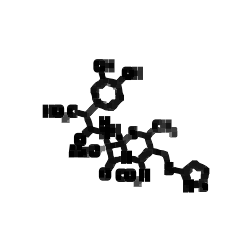 CO[C@@]1(NC(=O)C(C(=O)O)c2ccc(O)c(O)c2)C(=O)N2C(C(=O)O)=C(CSc3ccsn3)C(C)S[C@H]21